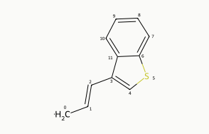 [CH2]/C=C/c1csc2ccccc12